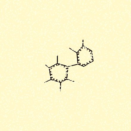 Cc1c(C(=O)O)c(-c2cccc(C(C)(C)C)c2C(C)(C)C)c(C(C)(C)C)c(O)c1C(C)(C)C